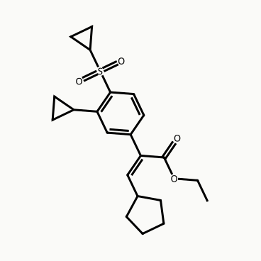 CCOC(=O)C(=CC1CCCC1)c1ccc(S(=O)(=O)C2CC2)c(C2CC2)c1